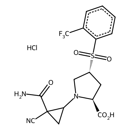 Cl.N#CC1(C(N)=O)CC1N1C[C@H](S(=O)(=O)c2ccccc2C(F)(F)F)C[C@H]1C(=O)O